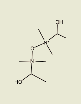 CC(O)[N+](C)(C)O[N+](C)(C)C(C)O